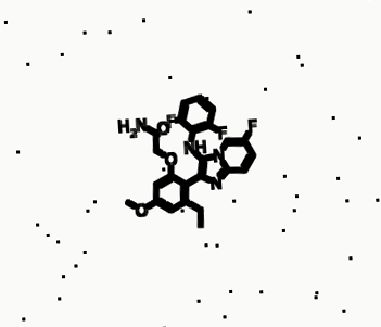 CCc1cc(OC)cc(OCC(N)=O)c1-c1nc2ccc(F)cn2c1Nc1c(F)cccc1F